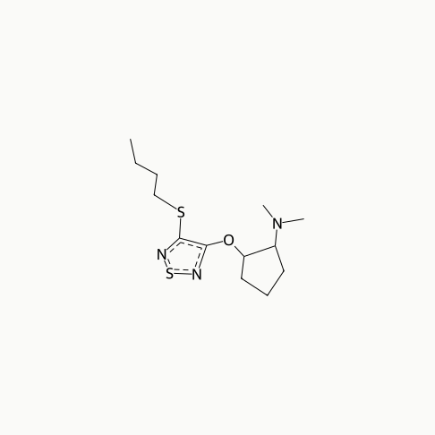 CCCCSc1nsnc1OC1CCCC1N(C)C